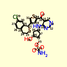 NS(=O)(=O)OC[C@H]1C[C@@H](Nc2ncncc2C(=O)c2cc(C3SCCc4ccc(Cl)cc43)cs2)C[C@@H]1O